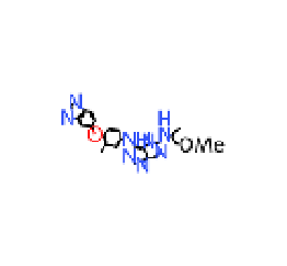 COCC(C)Nc1ncc2ncnc(Nc3ccc(Oc4ccc5c(c4)ncn5C)c(C)c3)c2n1